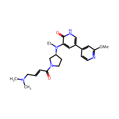 CCN(c1cc(-c2ccnc(OC)c2)c[nH]c1=O)[C@H]1CCN(C(=O)/C=C/CN(C)C)C1